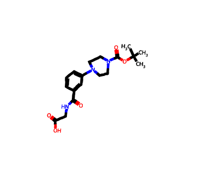 CC(C)(C)OC(=O)N1CCN(c2cccc(C(=O)NCC(=O)O)c2)CC1